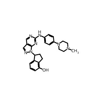 CN1CCN(c2ccc(Nc3ncc4cnn(C5CCc6c(O)cccc65)c4n3)cc2)CC1